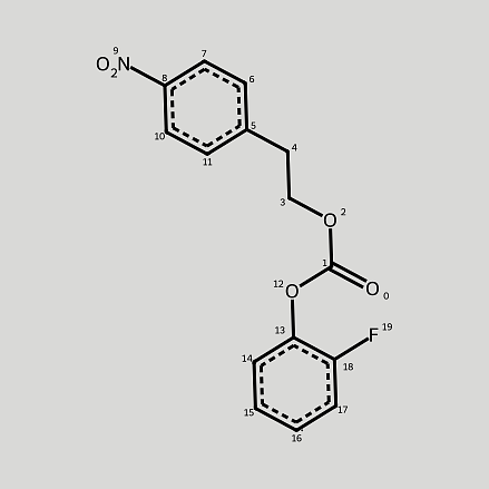 O=C(OCCc1ccc([N+](=O)[O-])cc1)Oc1cc[c]cc1F